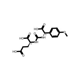 COc1ccc([C@H](NC(=O)N[C@@H](CCC(=O)O)C(=O)O)C(=O)O)cc1